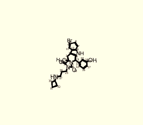 CC12Cc3c([nH]c4ccc(Br)cc34)C(c3cccc(O)c3)N1C(=O)N(CCCNC1CCC1)C2=O